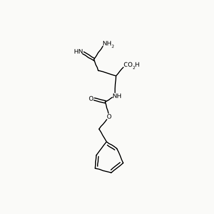 N=C(N)CC(NC(=O)OCc1ccccc1)C(=O)O